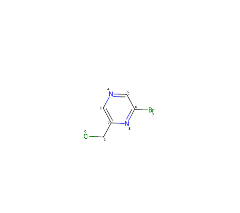 ClCc1cn[c]c(Br)n1